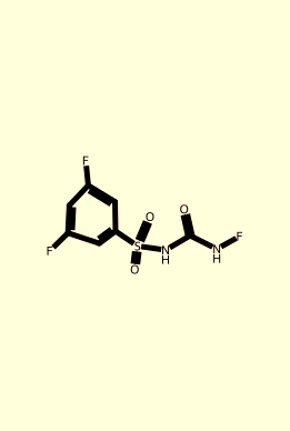 O=C(NF)NS(=O)(=O)c1cc(F)cc(F)c1